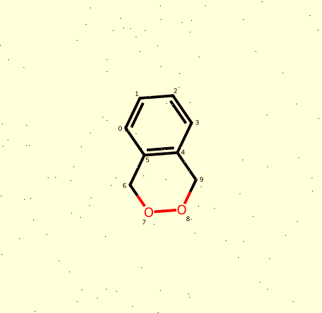 [c]1cccc2c1COOC2